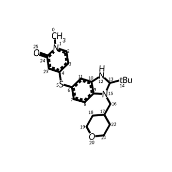 Cn1ccc(Sc2ccc3c(c2)NC(C(C)(C)C)N3CC2CCOCC2)cc1=O